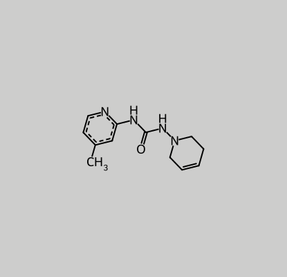 Cc1ccnc(NC(=O)NN2CC=CCC2)c1